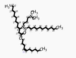 CCCCC/C=C\CCCOC(=O)CC(CCCCCCCCC)N(CCCN(C)C)SCCCCCCCCCCC